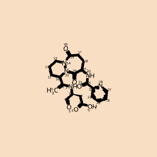 C=C(N[C@H](C=O)CC(=O)O)C1CCCN2C(=O)CCC(NC(=O)c3ccccn3)C(=O)N12